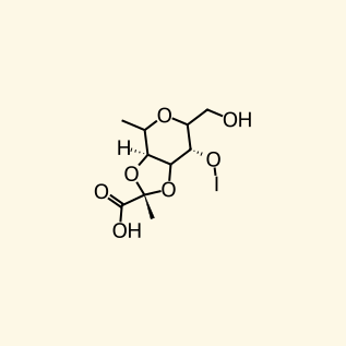 CC1OC(CO)[C@H](OI)C2O[C@](C)(C(=O)O)O[C@@H]12